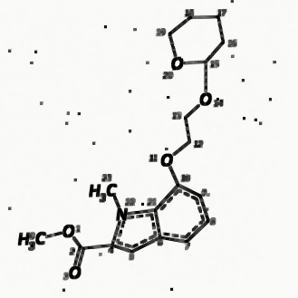 COC(=O)c1cc2cccc(OCCOC3CCCCO3)c2n1C